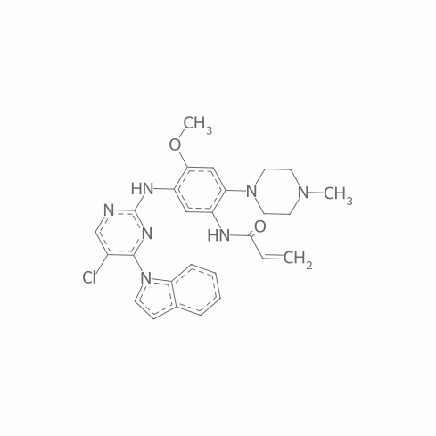 C=CC(=O)Nc1cc(Nc2ncc(Cl)c(-n3ccc4ccccc43)n2)c(OC)cc1N1CCN(C)CC1